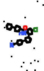 N#Cc1ccc(-c2cccc(-c3cc(Cl)cc4c3NC(c3ccc(-c5ccccc5)cc3)O4)c2)cc1